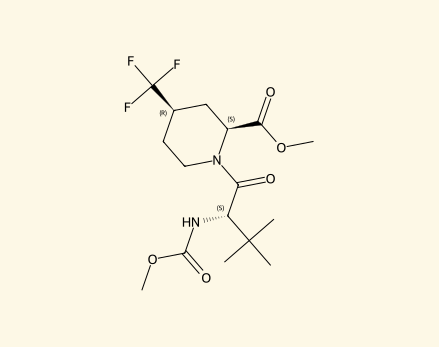 COC(=O)N[C@H](C(=O)N1CC[C@@H](C(F)(F)F)C[C@H]1C(=O)OC)C(C)(C)C